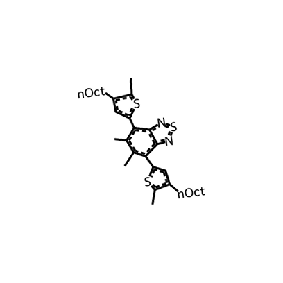 CCCCCCCCc1cc(-c2c(C)c(C)c(-c3cc(CCCCCCCC)c(C)s3)c3nsnc23)sc1C